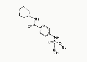 C#CP(=O)(Nc1ccc(C(=O)NC2CCCCC2)cc1)OCC